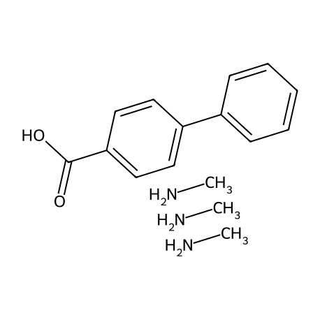 CN.CN.CN.O=C(O)c1ccc(-c2ccccc2)cc1